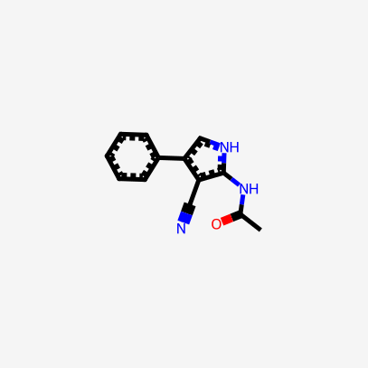 CC(=O)Nc1[nH]cc(-c2ccccc2)c1C#N